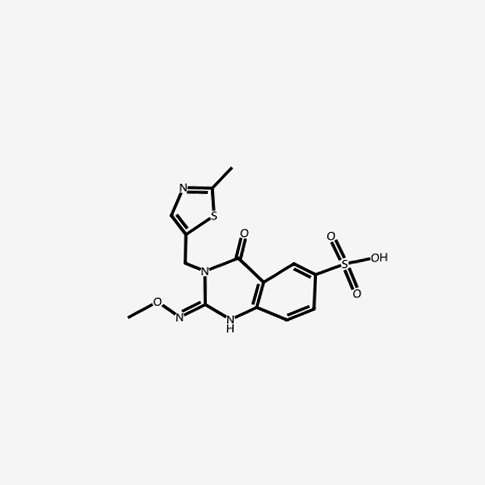 CON=c1[nH]c2ccc(S(=O)(=O)O)cc2c(=O)n1Cc1cnc(C)s1